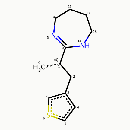 C[C@@H](Cc1ccsc1)C1=NCCCCN1